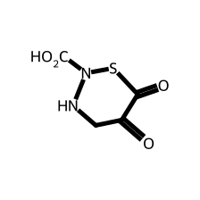 O=C1CNN(C(=O)O)SC1=O